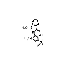 COc1ccccc1C(=O)Nc1c(Cl)c(C(F)(F)F)nn1C